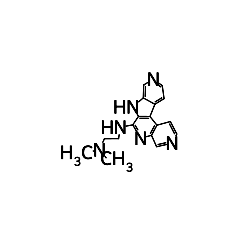 CN(C)CCNc1nc2cnccc2c2c1[nH]c1cnccc12